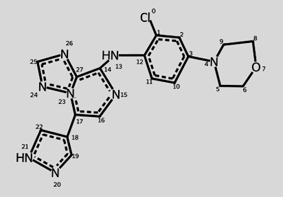 Clc1cc(N2CCOCC2)ccc1Nc1ncc(-c2cn[nH]c2)n2ncnc12